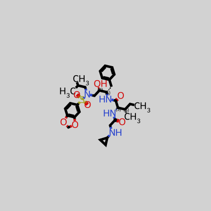 CC[C@H](C)[C@H](NC(=O)CNC1CC1)C(=O)N[C@@H](Cc1ccccc1)[C@H](O)CN(CC(C)C)S(=O)(=O)c1ccc2c(c1)OCO2